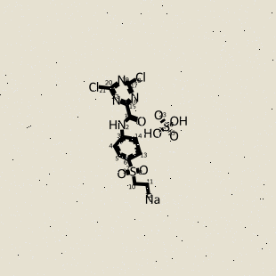 O=C(Nc1ccc(S(=O)(=O)C[CH2][Na])cc1)c1nc(Cl)nc(Cl)n1.O=S(=O)(O)O